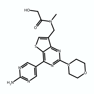 CN(Cc1csc2c(-c3cnc(N)nc3)nc(N3CCOCC3)nc12)C(=O)CO